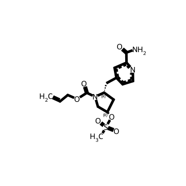 C=CCOC(=O)N1C[C@H](OS(C)(=O)=O)C[C@H]1Cc1ccnc(C(N)=O)c1